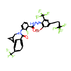 O=C(Nc1c(Br)cc(CC(F)(F)F)cc1C(F)(F)F)c1cccc(N(CC2CC2)C(=O)c2ccc(C(F)(F)F)cc2)c1F